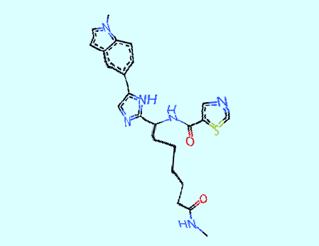 CNC(=O)CCCCCC(NC(=O)c1cncs1)c1ncc(-c2ccc3c(ccn3C)c2)[nH]1